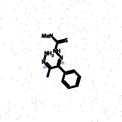 CNC(=S)N/N=C(\C(C)=N/N)c1ccccc1